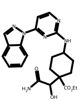 CCOC(=O)C1(C(O)C(N)=O)CCC(Nc2nccc(-n3ncc4ccccc43)n2)CC1